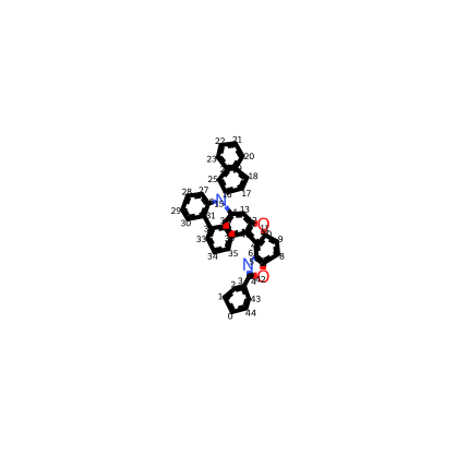 c1ccc(-c2nc3c(ccc4oc5cc(N(c6ccc7ccccc7c6)c6ccccc6-c6ccccc6)ccc5c43)o2)cc1